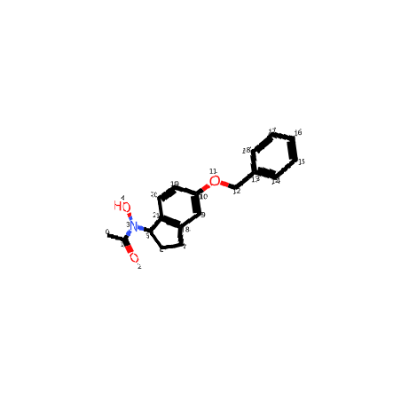 CC(=O)N(O)C1CCc2cc(OCc3ccccc3)ccc21